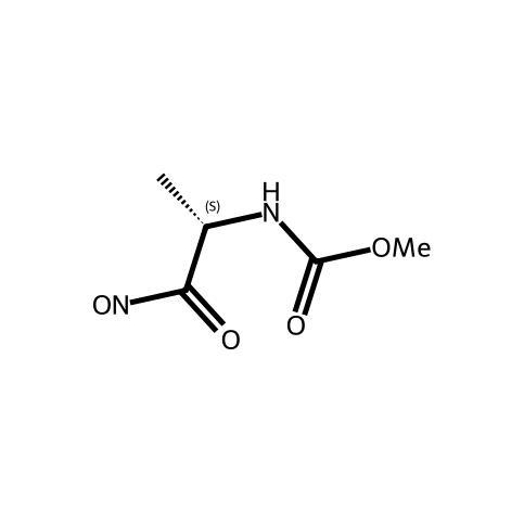 COC(=O)N[C@@H](C)C(=O)N=O